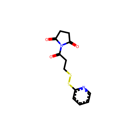 O=C(CCSSc1ccccn1)N1C(=O)CCC1=O